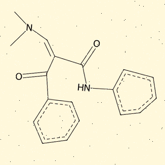 CN(C)C=C(C(=O)Nc1ccccc1)C(=O)c1ccccc1